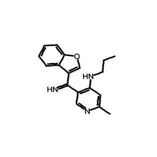 CCCNc1cc(C)ncc1C(=N)c1coc2ccccc12